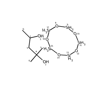 CC(O)CC(C)(C)O.O1[SiH2]O[SiH2]O[SiH2]O[SiH2]O[SiH2]1